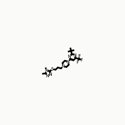 Cc1nnc(SCCCN2CCN(c3cc(C(F)(F)F)nc(C(C)(C)C)n3)CC2)n1C